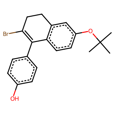 CC(C)(C)Oc1ccc2c(c1)CCC(Br)=C2c1ccc(O)cc1